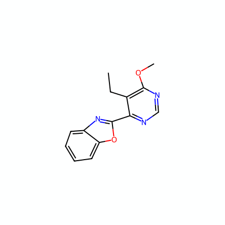 CCc1c(OC)ncnc1-c1nc2ccccc2o1